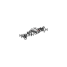 O=C(COc1cccc([C@@](O)(C(=O)O)c2ccccc2CC2CCN(Cc3ccccc3)CC2)c1)NCCNC(=O)c1ccc(CNC[C@H](O)c2ccc(O)c3[nH]c(=O)ccc23)cc1